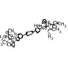 COC(=O)N(C)[C@H](C(=O)N1CCC[C@H]1c1cc2cc(-c3ccc(-c4ccc5nc([C@@H]6CCCN6C(=O)[C@H](C(C)C)N(C)C(=O)OC)[nH]c5c4)cc3)ccc2[nH]1)C(C)C